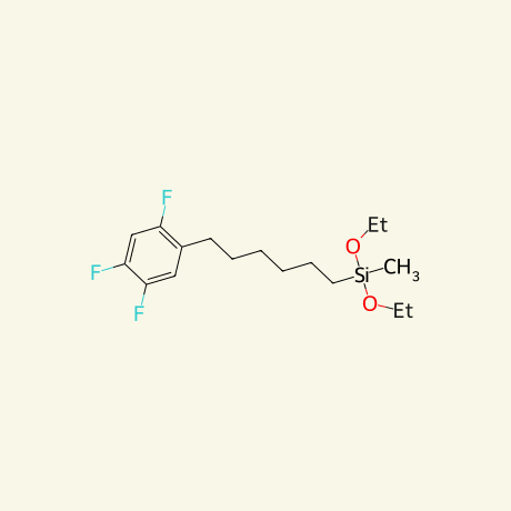 CCO[Si](C)(CCCCCCc1cc(F)c(F)cc1F)OCC